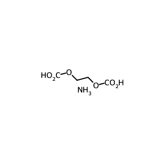 N.O=C(O)OCCOC(=O)O